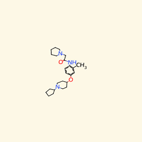 Cc1cc(OC2CCN(C3CCCC3)CC2)ccc1NC(=O)CN1CCCCC1